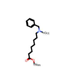 CCCCCCCCCOC(=O)CCCCCCCN(CCCCCCCC)Cc1ccccc1